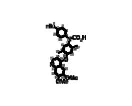 CCCCc1ccc(N(C(=O)O)c2cc(C)c(Oc3ccnc4cc(OC)c(OC)cc34)cc2C)cc1